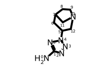 Nc1nnn(C2CC3CCN(C3)C2)n1